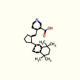 CC1(C)CCC(C)(C)c2cc(C3CCC/C3=C\c3ccncc3C(=O)O)ccc21